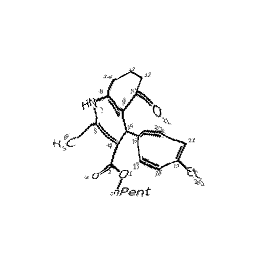 CCCCCOC(=O)C1=C(C)NC2=C(C(=O)CCC2)C1c1ccc(CC)cc1